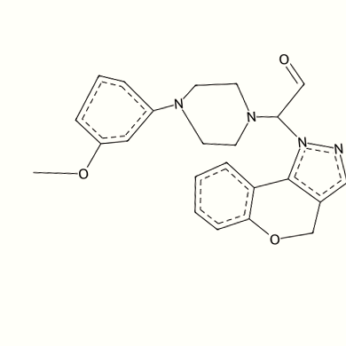 COc1cccc(N2CCN(C(C=O)n3ncc4c3-c3ccccc3OC4)CC2)c1